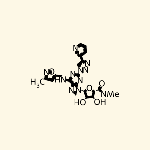 CNC(=O)[C@H]1O[C@@H](n2cnc3c(NCc4cc(C)no4)nc(-n4cc(-c5cccnn5)nn4)nc32)[C@H](O)[C@@H]1O